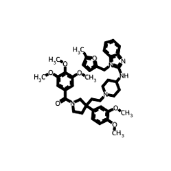 COc1ccc(C2(CCN3CCC(Nc4nc5ccccc5n4Cc4ccc(C)o4)CC3)CCN(C(=O)c3cc(OC)c(OC)c(OC)c3)C2)cc1OC